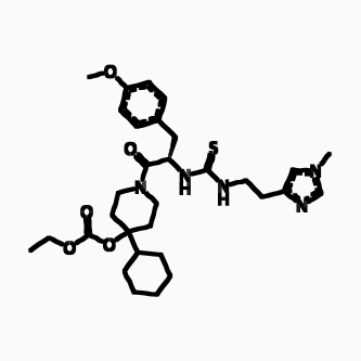 CCOC(=O)OC1(C2CCCCC2)CCN(C(=O)[C@@H](Cc2ccc(OC)cc2)NC(=S)NCCc2cn(C)cn2)CC1